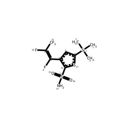 C[Si](C)(C)c1cc(/C(F)=C(/F)C(F)(F)F)c(S(N)(=O)=O)s1